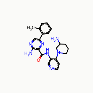 Cc1ccccc1-c1cnc(N)c(C(=O)Nc2cnccc2N2CCCC(N)C2)n1